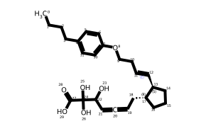 CCCCc1ccc(OCC/C=C/[C@H]2CCC[C@@H]2CC=C=CC(O)C(O)(O)C(=O)O)cc1